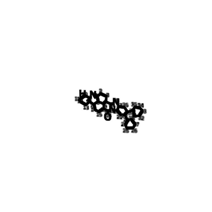 Nc1ccc2c3c1c(-c1ccccc1)ccc3c(=O)n1c3cc(-c4ccccc4)c(-c4ccccc4)cc3nc21